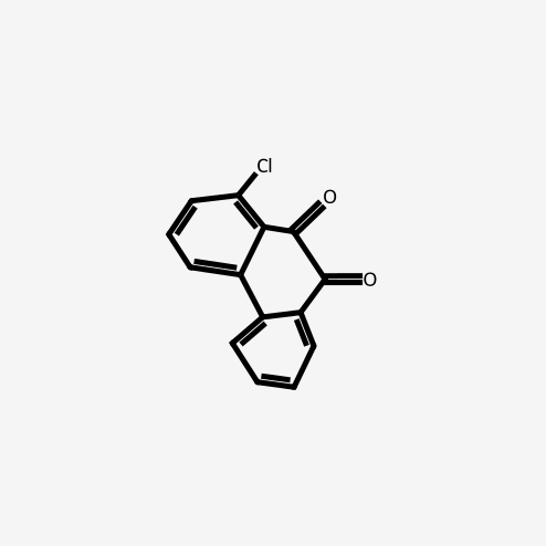 O=C1C(=O)c2c(Cl)cccc2-c2ccccc21